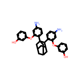 Nc1ccc(C2C3CC4CC(C3)CC2(c2ccc(N)cc2Oc2cccc(O)c2)C4)c(Oc2cccc(O)c2)c1